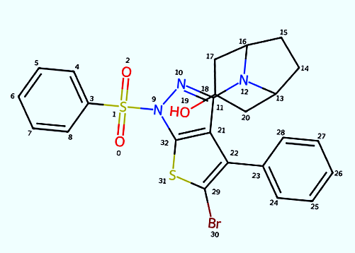 O=S(=O)(c1ccccc1)n1nc(N2C3CCC2CC(O)C3)c2c(-c3ccccc3)c(Br)sc21